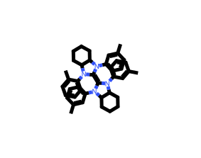 Cc1cccc(N2C(=C3N(c4cccc(C)c4)C4CCCCC4N3c3ccccc3C)N(c3cccc(C)c3)C3CCCCC32)c1